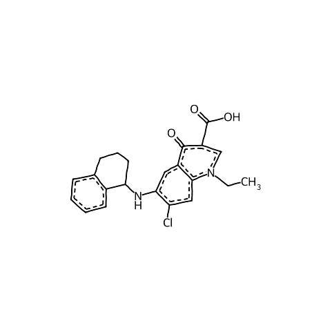 CCn1cc(C(=O)O)c(=O)c2cc(NC3CCCc4ccccc43)c(Cl)cc21